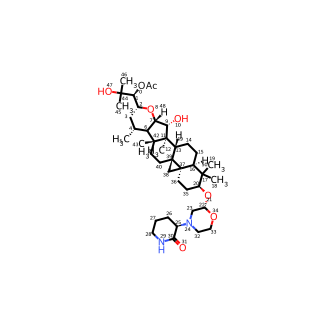 CC(=O)O[C@@H]([C@H]1C[C@@H](C)C2[C@H](O1)[C@H](O)[C@@]1(C)[C@@H]3CC[C@H]4C(C)(C)[C@@H](O[C@H]5CN([C@@H]6CCCNC6=O)CCO5)CC[C@@]45C[C@@]35CC[C@]21C)C(C)(C)O